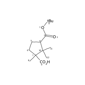 CC(C)(C)OC(=O)C1CCC(C)(C(=O)O)C1(C)C